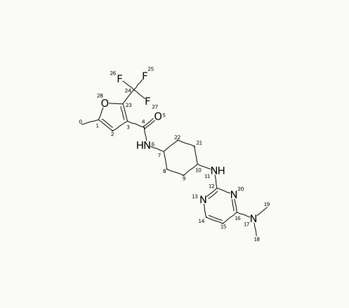 Cc1cc(C(=O)NC2CCC(Nc3nccc(N(C)C)n3)CC2)c(C(F)(F)F)o1